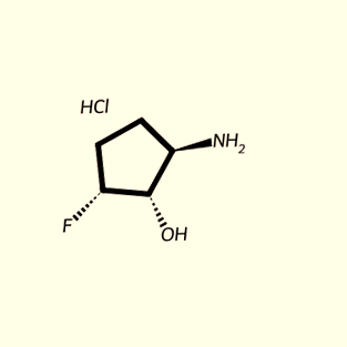 Cl.N[C@@H]1CC[C@@H](F)[C@H]1O